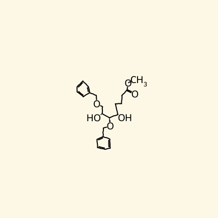 COC(=O)CCC[C@@H](O)[C@@H](OCc1ccccc1)[C@H](O)COCc1ccccc1